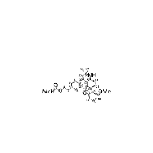 CNC(=O)OCCc1cccc(C2Oc3cccc(OC)c3-c3ccc4c(c32)C(C)=CC(C)(C)N4)c1